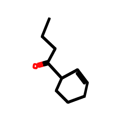 CCCC(=O)C1C=CCCC1